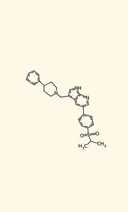 CC(C)S(=O)(=O)c1ccc(-c2cnc3[nH]cc(CN4CCC(c5ccccc5)CC4)c3c2)cc1